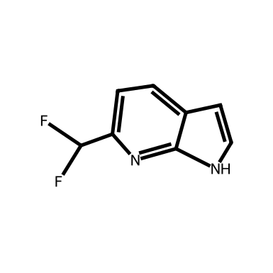 FC(F)c1ccc2cc[nH]c2n1